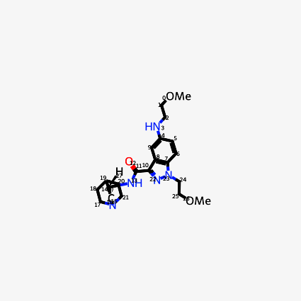 COCCNc1ccc2c(c1)c(C(=O)N[C@@H]1CN3CCC1CC3)nn2CCOC